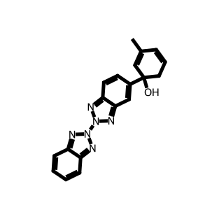 CC1=CC(O)(c2ccc3nn(-n4nc5ccccc5n4)nc3c2)CC=C1